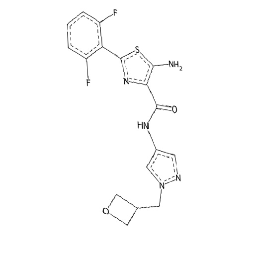 Nc1sc(-c2c(F)cccc2F)nc1C(=O)Nc1cnn(CC2COC2)c1